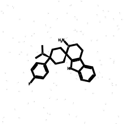 CN(C)[C@]1(c2ccc(F)cc2)CC[C@]2(CC1)c1[nH]c3ccccc3c1CCN2N